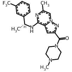 Cc1cn2nc(C(=O)N3CCN(C)CC3)cc2c(N[C@H](C)c2cccc(C(F)(F)F)c2)n1